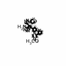 CC(=O)N1CCN(c2cccc(-c3cc(-c4cnnn4C4CCOCC4)c4c(N)ncnn34)c2)C(c2cccnc2)C1